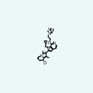 COc1c[c]cn2nc(-c3cc4ccnc(OCCn5cnnc5)c4n3CC3CC3)c(C)c12